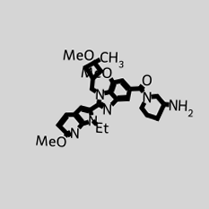 CCn1c(-c2nc3cc(C(=O)N4CCCC(N)C4)cc(OC)c3n2CC2CC(C)(OC)C2)cc2ccc(OC)nc21